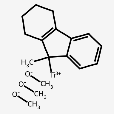 C[C]1([Ti+3])C2=C(CCCC2)c2ccccc21.C[O-].C[O-].C[O-]